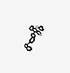 c1ccc(Oc2c3ccccc3c(-c3ccc4cc(-c5cccc6ccccc56)ccc4c3)c3cnccc23)cc1